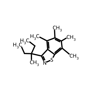 CCC(C)(CC)c1nsc2c(C)c(C)c(C)c(C)c12